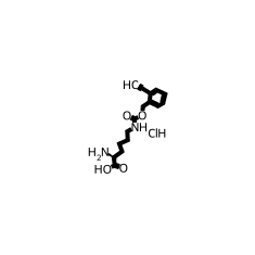 C#Cc1ccccc1COC(=O)NCCCC[C@H](N)C(=O)O.Cl